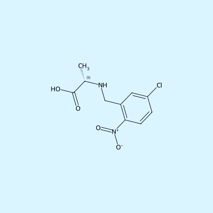 C[C@H](NCc1cc(Cl)ccc1[N+](=O)[O-])C(=O)O